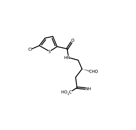 N=C(C[C@@H](C=O)CNC(=O)c1ccc(Cl)s1)C(=O)O